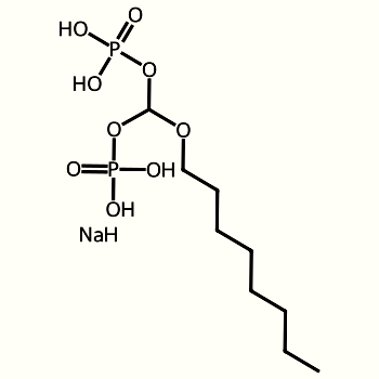 CCCCCCCCOC(OP(=O)(O)O)OP(=O)(O)O.[NaH]